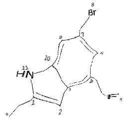 Cc1cc2c(F)cc(Br)cc2[nH]1